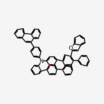 c1ccc(-c2ccc(-c3ccccc3N(c3ccc(-c4ccc(-c5ccccc5)c(-c5cc6ccccc6o5)c4)cc3)c3ccc(-c4cc5ccccc5c5ccccc45)cc3)cc2)cc1